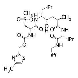 Cc1csc(COC(=O)N[C@@H](CS(C)(=O)=O)C(=O)N[C@H](CC(C)C)[C@@H](O)C[C@@H](C)C(=O)N[C@@H](C(=O)NCC(C)C)C(C)C)n1